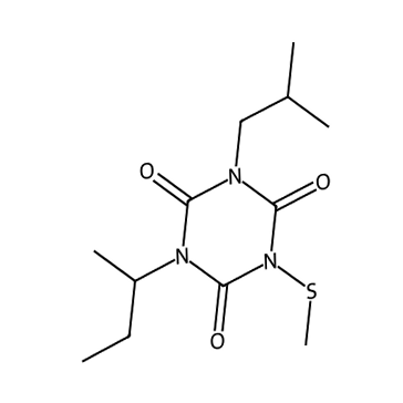 CCC(C)n1c(=O)n(CC(C)C)c(=O)n(SC)c1=O